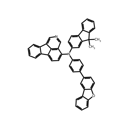 CC1(C)c2ccccc2-c2ccc(N(c3ccc(-c4ccc5oc6ccccc6c5c4)cc3)c3ccc4c5c(cncc35)-c3ccccc3-4)cc21